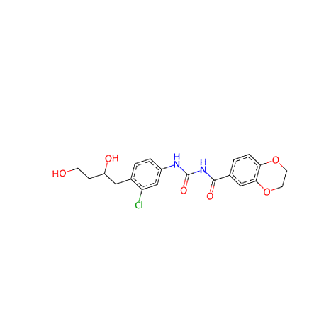 O=C(NC(=O)c1ccc2c(c1)OCCO2)Nc1ccc(CC(O)CCO)c(Cl)c1